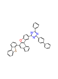 c1ccc(-c2ccc(-c3nc(-c4ccccc4)nc(-c4ccc5oc6c(-c7cccc8c7sc7ccccc78)cc7ccccc7c6c5c4)n3)cc2)cc1